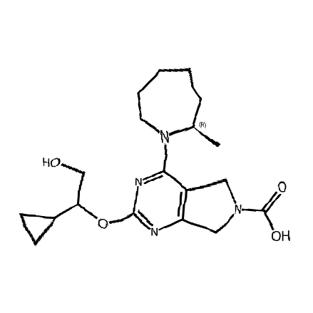 C[C@@H]1CCCCCN1c1nc(OC(CO)C2CC2)nc2c1CN(C(=O)O)C2